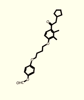 Cc1c(OCCCCOc2ccc(OC=O)cc2)ccc(C(=O)CC2CCCC2)c1C